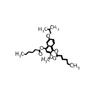 CCCCCC(=O)Oc1cc(OC)c(OC(=O)CCCCC)c2ccc(OCC(C)C)cc12